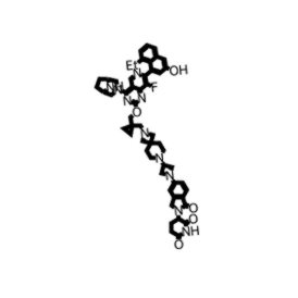 CCc1cccc2cc(O)cc(-c3ncc4c(N5CC6CCC(C5)N6)nc(OCC5(CN6CC7(CCN(C8CN(c9ccc%10c(c9)CN(C9CCC(=O)NC9=O)C%10=O)C8)CC7)C6)CC5)nc4c3F)c12